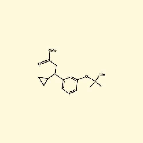 COC(=O)CC(c1cccc(O[Si](C)(C)C(C)(C)C)c1)C1CC1